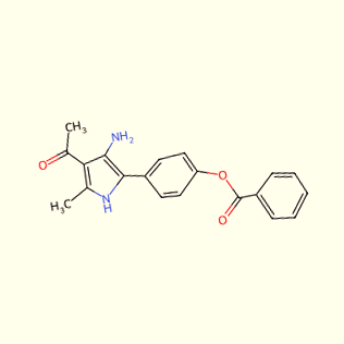 CC(=O)c1c(C)[nH]c(-c2ccc(OC(=O)c3ccccc3)cc2)c1N